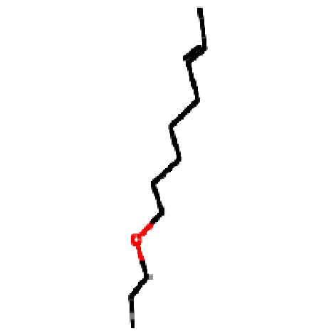 CC=CCCCCCO[CH]CC